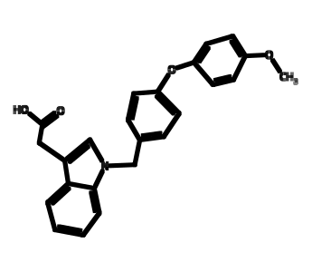 COc1ccc(Oc2ccc(Cn3cc(CC(=O)O)c4ccccc43)cc2)cc1